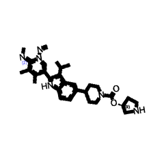 C=Nn1cc(-c2[nH]c3ccc(C4CCN(C(=O)O[C@@H]5CCNC5)CC4)cc3c2C(C)C)c(C)c(C)/c1=N/C